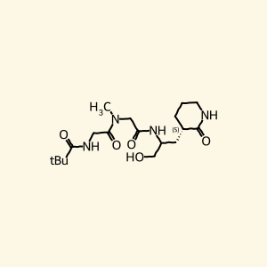 CN(CC(=O)NC(CO)C[C@@H]1CCCNC1=O)C(=O)CNC(=O)C(C)(C)C